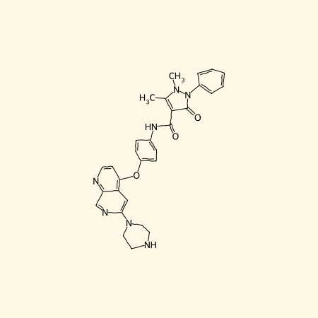 Cc1c(C(=O)Nc2ccc(Oc3ccnc4cnc(N5CCNCC5)cc34)cc2)c(=O)n(-c2ccccc2)n1C